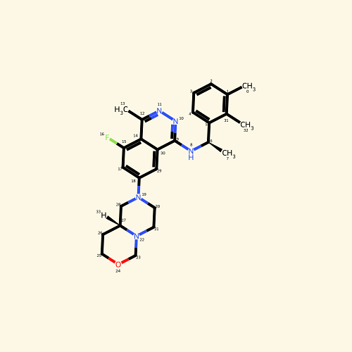 Cc1cccc([C@@H](C)Nc2nnc(C)c3c(F)cc(N4CCN5COCC[C@@H]5C4)cc23)c1C